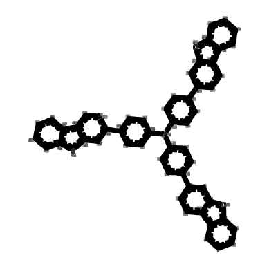 c1ccc2c(c1)oc1cc(-c3ccc(N(c4ccc(-c5ccc6c(c5)oc5ccccc56)cc4)c4ccc(-c5cc6sc7ccccc7c6cn5)cc4)cc3)ccc12